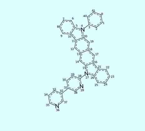 c1ccc(-n2c3ccccc3c3cc4cc5c(cc4cc32)c2ccccc2n5-c2ccc(-c3cccnc3)cn2)cc1